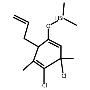 C=CCC1C(O[SiH](C)C)=CC(C)(Cl)C(Cl)=C1C